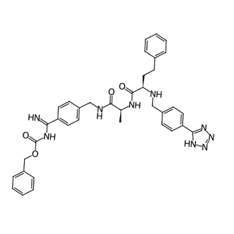 C[C@H](NC(=O)[C@@H](CCc1ccccc1)NCc1ccc(-c2nnn[nH]2)cc1)C(=O)NCc1ccc(C(=N)NC(=O)OCc2ccccc2)cc1